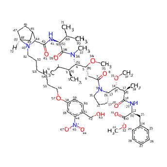 CC[C@H](C)[C@@H]([C@@H](CC(=O)N1CCC[C@H]1[C@H](OC)[C@@H](C)C(=O)N[C@@H](Cc1ccccc1)C(=O)OC)OC)N(C)C(=O)[C@@H](NC(=O)C1C2CC[C@@H](C2)N1CCCCCCOc1ccc(CO)c([N+](=O)[O-])c1)C(C)C